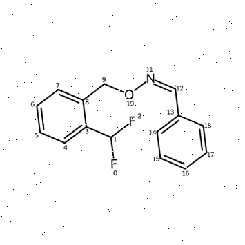 FC(F)c1ccccc1CO/N=[C]\c1ccccc1